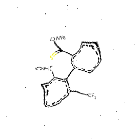 COC(=S)c1ccccc1-c1c(C=O)cccc1C(F)(F)F